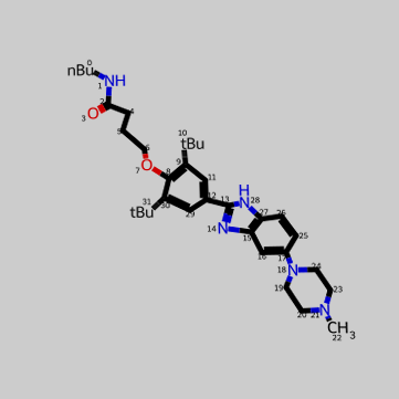 CCCCNC(=O)CCCOc1c(C(C)(C)C)cc(-c2nc3cc(N4CCN(C)CC4)ccc3[nH]2)cc1C(C)(C)C